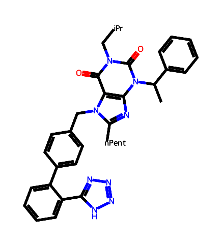 CCCCCc1nc2c(c(=O)n(CC(C)C)c(=O)n2C(C)c2ccccc2)n1Cc1ccc(-c2ccccc2-c2nnn[nH]2)cc1